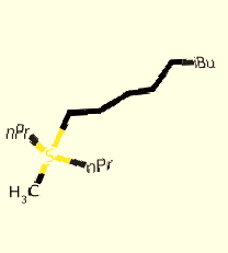 CCCS(C)(CCC)CCCCCC(C)CC